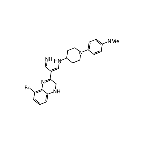 CNc1ccc(N2CCC(N/C=C(\C=N)C3=Nc4c(Br)cccc4NC3)CC2)cc1